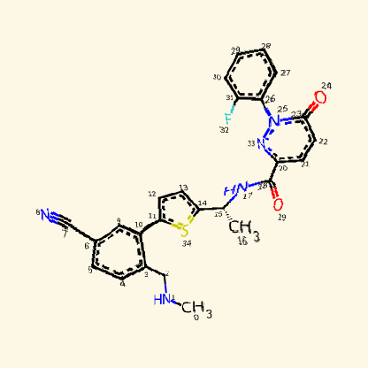 CNCc1ccc(C#N)cc1-c1ccc([C@@H](C)NC(=O)c2ccc(=O)n(-c3ccccc3F)n2)s1